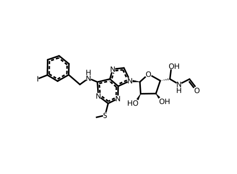 CSc1nc(NCc2cccc(I)c2)c2ncn([C@H]3O[C@H](C(O)NC=O)[C@@H](O)[C@H]3O)c2n1